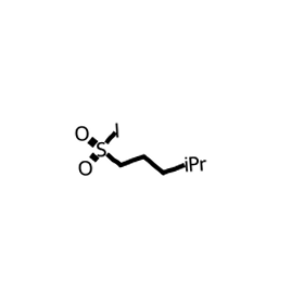 CC(C)CCCS(=O)(=O)I